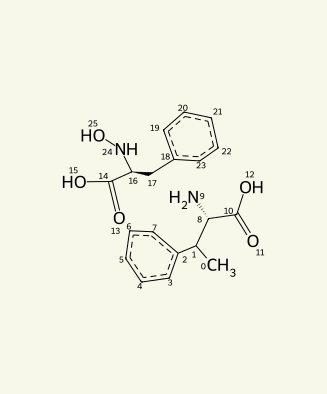 CC(c1ccccc1)[C@H](N)C(=O)O.O=C(O)[C@H](Cc1ccccc1)NO